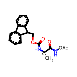 CC(=O)ONC(=O)[C@H](C)NC(=O)OCC1c2ccccc2-c2ccccc21